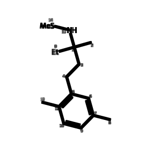 CCC(C)(CCc1cc(C)ccc1C)NSC